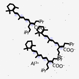 CC1=C(/C=C/C(C)=C/C=C/C(CCC(C)C)=C(\CC(C)C)C(=O)[O-])C(C)(C)CCC1.CC1=C(/C=C/C(C)=C/C=C/C(CCC(C)C)=C(\CC(C)C)C(=O)[O-])C(C)(C)CCC1.CC1=C(/C=C/C(C)=C/C=C/C(CCC(C)C)=C(\CC(C)C)C(=O)[O-])C(C)(C)CCC1.[Al+3]